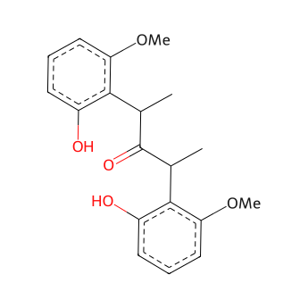 COc1cccc(O)c1C(C)C(=O)C(C)c1c(O)cccc1OC